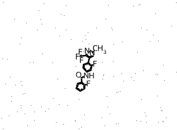 Cn1cc(-c2ccc(NC(=O)c3ccccc3F)cc2F)c(C(F)(F)F)n1